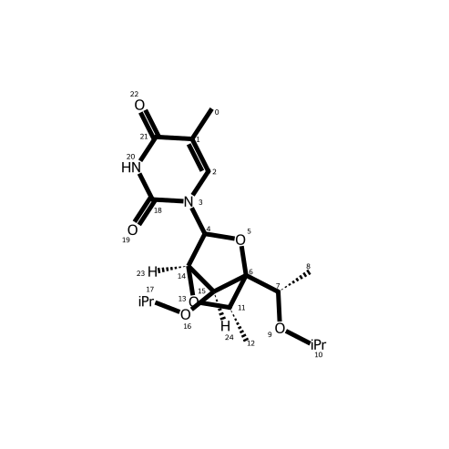 Cc1cn(C2OC3([C@H](C)OC(C)C)[C@H](C)O[C@@H]2[C@@H]3OC(C)C)c(=O)[nH]c1=O